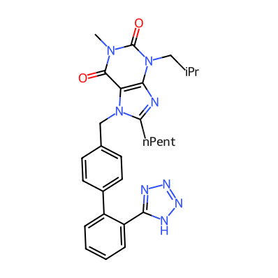 CCCCCc1nc2c(c(=O)n(C)c(=O)n2CC(C)C)n1Cc1ccc(-c2ccccc2-c2nnn[nH]2)cc1